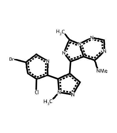 CNc1ncnn2c(C)nc(-c3cnn(C)c3-c3ncc(Br)cc3Cl)c12